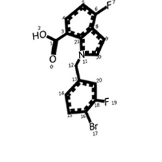 O=C(O)c1ccc(F)c2ccn(Cc3ccc(Br)c(F)c3)c12